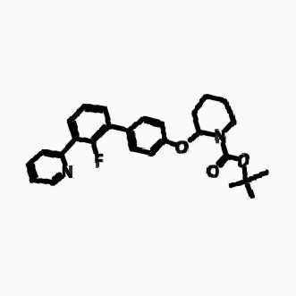 CC(C)(C)OC(=O)N1CCCCC1Oc1ccc(-c2cccc(-c3ccccn3)c2F)cc1